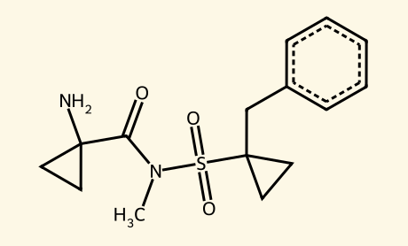 CN(C(=O)C1(N)CC1)S(=O)(=O)C1(Cc2ccccc2)CC1